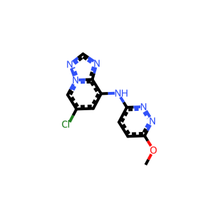 COc1ccc(Nc2cc(Cl)cn3ncnc23)nn1